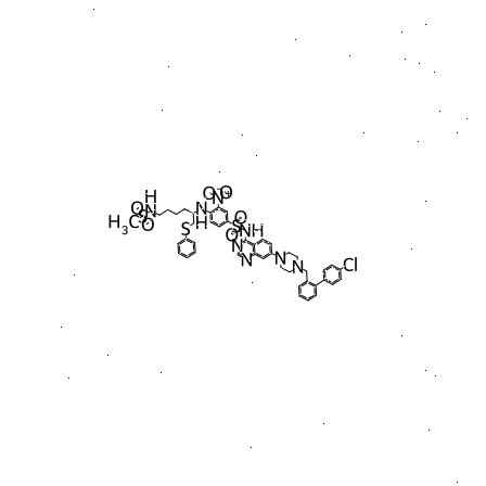 CS(=O)(=O)NCCCC[C@H](CSc1ccccc1)Nc1ccc(S(=O)(=O)Nc2ncnc3cc(N4CCN(Cc5ccccc5-c5ccc(Cl)cc5)CC4)ccc23)cc1[N+](=O)[O-]